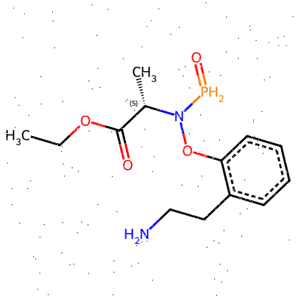 CCOC(=O)[C@H](C)N(Oc1ccccc1CCN)[PH2]=O